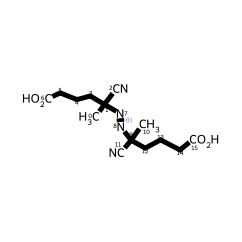 CC(C#N)(CCCC(=O)O)/N=N/C(C)(C#N)CCCC(=O)O